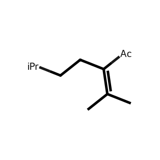 CC(=O)C(CCC(C)C)=C(C)C